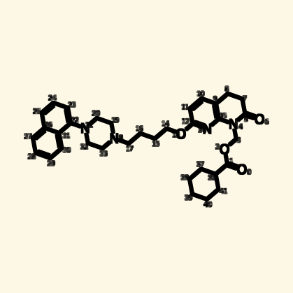 O=C(OCN1C(=O)CCc2ccc(OCCCCN3CCN(c4cccc5ccccc45)CC3)nc21)C1CCCCC1